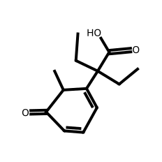 CCC(CC)(C(=O)O)C1=CC=CC(=O)C1C